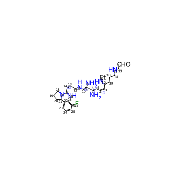 CCNC(\C=C/C=C(N)/C(N)=C/NC/C=C\C(=N)N1CCCC1c1cccc(F)c1)CCCNCC=O